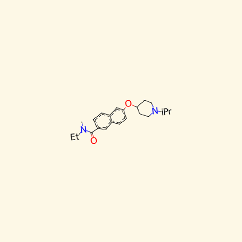 CCN(C)C(=O)c1ccc2cc(OC3CCN(C(C)C)CC3)ccc2c1